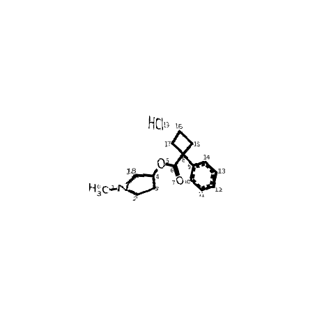 CN1CCC(OC(=O)C2(c3ccccc3)CCC2)C1.Cl